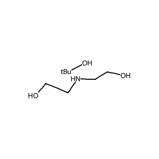 CC(C)(C)O.OCCNCCO